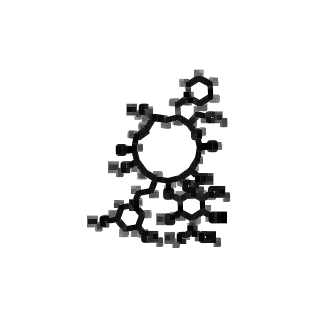 CCC1OC(=O)CC(O)C(C)C(OC2OC(C)C(O)C(N(C)C)C2O)C(CCN2CC(C)CC(C)C2)CC(C)C(=O)/C=C/C(C)=C/C1CN1CCCCC1